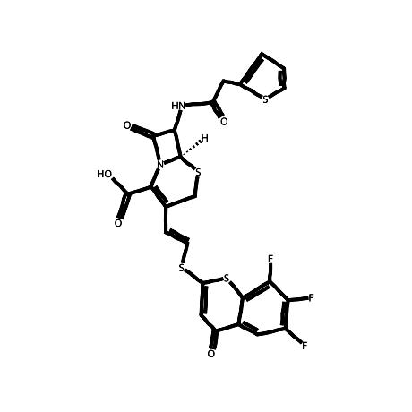 O=C(Cc1cccs1)NC1C(=O)N2C(C(=O)O)=C(/C=C/Sc3cc(=O)c4cc(F)c(F)c(F)c4s3)CS[C@H]12